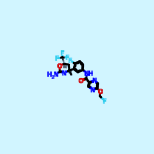 C[C@]1(c2cc(NC(=O)c3cnc(OCF)cn3)ccc2F)C[C@@H](C(F)(F)F)OC(N)=N1